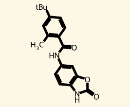 Cc1cc(C(C)(C)C)ccc1C(=O)Nc1ccc2[nH]c(=O)oc2c1